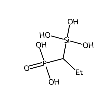 CCC([Si](O)(O)O)P(=O)(O)O